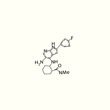 CNC(=O)[C@H]1CCCCC1Nc1c(N)cnc2[nH]c(-c3ccc(F)cc3)cc12